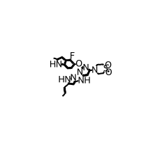 C/C=C/c1cc(Nc2cc(N3CCS(=O)(=O)CC3)nc(Oc3ccc4[nH]c(C)cc4c3F)n2)n[nH]1